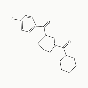 O=C(c1ccc(F)cc1)C1CCCN(C(=O)C2CCCCC2)C1